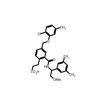 COCC(NC(=O)c1cc(COc2cc(C)ccc2Cl)ccc1CCC(=O)O)c1cc(C)cc(C)c1